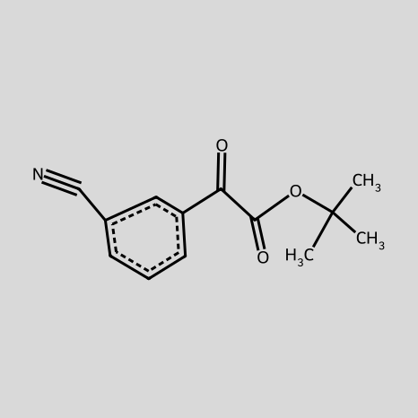 CC(C)(C)OC(=O)C(=O)c1cccc(C#N)c1